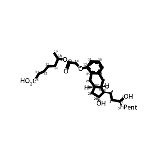 CCCCC[C@H](O)CC[C@@H]1[C@H]2Cc3cccc(OCC(=O)OC(C)CCCCC(=O)O)c3C[C@H]2C[C@H]1O